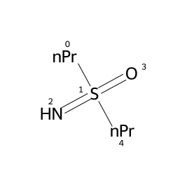 CCCS(=N)(=O)CCC